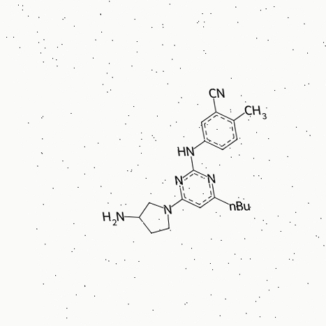 CCCCc1cc(N2CCC(N)C2)nc(Nc2ccc(C)c(C#N)c2)n1